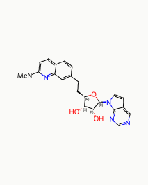 CNc1ccc2ccc(CC[C@H]3O[C@@H](n4ccc5cncnc54)[C@H](O)[C@@H]3O)cc2n1